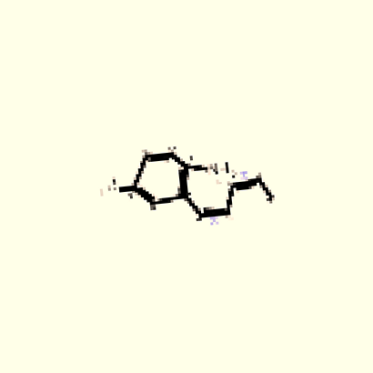 C/C=C\C=C/c1cc(C(C)C)ccc1N